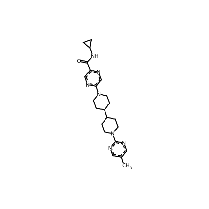 Cc1cnc(N2CCC(C3CCN(c4cnc(C(=O)NC5CC5)cn4)CC3)CC2)nc1